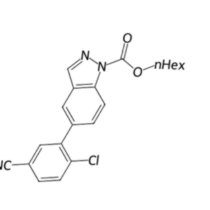 CCCCCCOC(=O)n1ncc2cc(-c3cc(C#N)ccc3Cl)ccc21